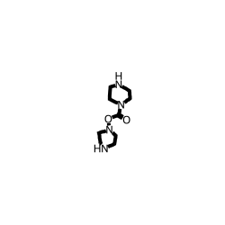 O=C(ON1CCNCC1)N1CCNCC1